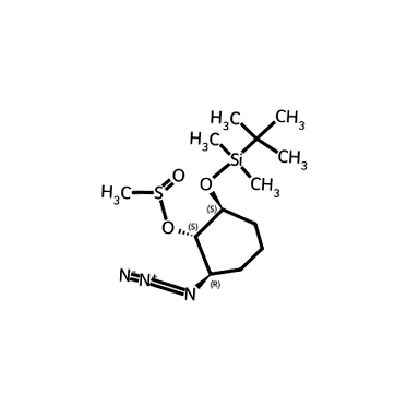 CS(=O)O[C@@H]1[C@@H](O[Si](C)(C)C(C)(C)C)CCC[C@H]1N=[N+]=[N-]